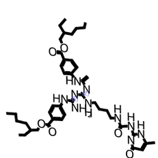 C=C(/N=C(\N=C(/N)Nc1ccc(C(=O)OCC(CC)CCCC)cc1)NCCCCNC(=O)Nc1nc(=O)cc(C)[nH]1)Nc1ccc(C(=O)OCC(CC)CCCC)cc1